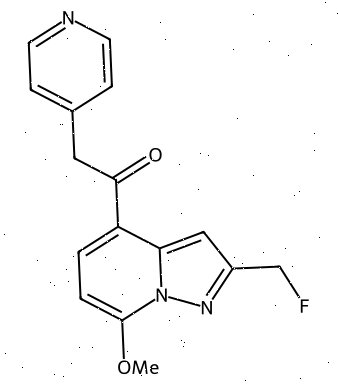 COc1ccc(C(=O)Cc2ccncc2)c2cc(CF)nn12